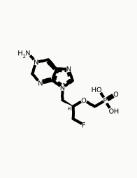 NN1C=c2ncn(C[C@H](CF)OCP(=O)(O)O)c2=NC1